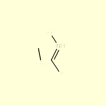 CC(C)=O.CC(C)C=[NH+][O-]